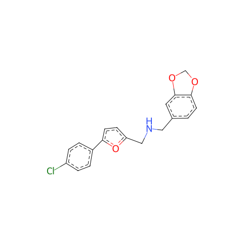 Clc1ccc(-c2ccc(CNCc3ccc4c(c3)OCO4)o2)cc1